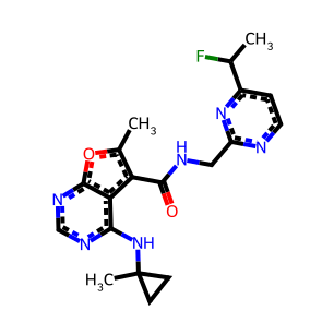 Cc1oc2ncnc(NC3(C)CC3)c2c1C(=O)NCc1nccc(C(C)F)n1